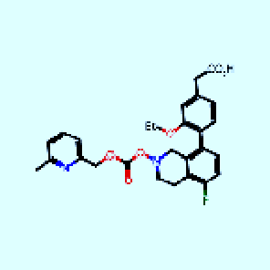 CCOc1cc(CC(=O)O)ccc1-c1ccc(F)c2c1CN(OC(=O)OCc1cccc(C)n1)CC2